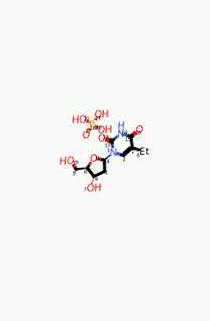 CCc1cn([C@H]2C[C@H](O)[C@@H](CO)O2)c(=O)[nH]c1=O.O=P(O)(O)O